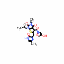 Cc1c[nH]c(=O)c(CC2Sc3c(c(=O)n(C)c(=O)n3CC(C)C)C2C(=O)N2C[C@H](O)CO2)n1